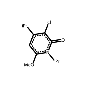 COc1cc(C(C)C)c(Cl)c(=O)n1C(C)C